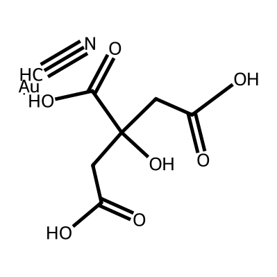 C#N.O=C(O)CC(O)(CC(=O)O)C(=O)O.[Au]